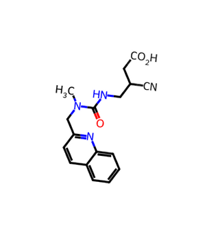 CN(Cc1ccc2ccccc2n1)C(=O)NCC(C#N)CC(=O)O